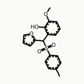 COc1cccc(C(c2ccco2)S(=O)(=O)c2ccc(C)cc2)c1O